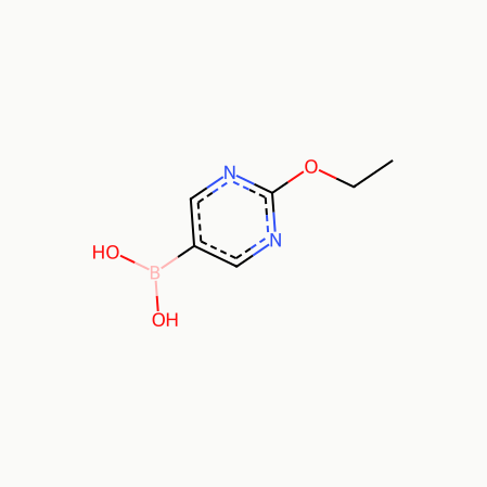 CCOc1ncc(B(O)O)cn1